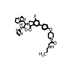 CCCNCC(=O)N1CCC(Oc2ccc(-c3cc(F)c4c(c3)C(=O)N(C(C(=O)Nc3nccs3)c3ncn5c3CCC5)C4)cc2)CC1